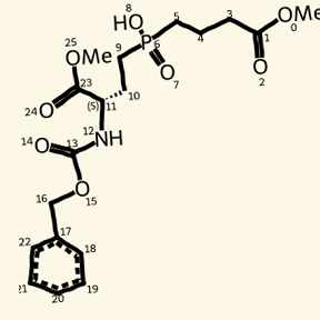 COC(=O)CCCP(=O)(O)CC[C@H](NC(=O)OCc1ccccc1)C(=O)OC